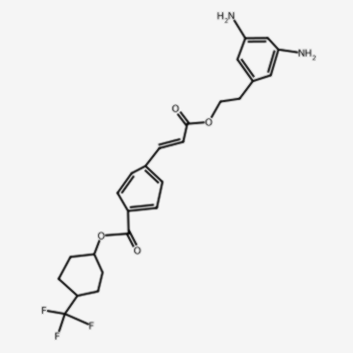 Nc1cc(N)cc(CCOC(=O)C=Cc2ccc(C(=O)OC3CCC(C(F)(F)F)CC3)cc2)c1